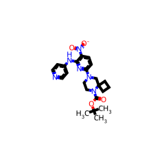 CC(C)(C)OC(=O)N1CCN(c2ccc([N+](=O)[O-])c(Nc3ccncc3)n2)CC12CCC2